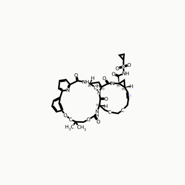 CC1(C)COC(=O)N[C@H]2CCCCC/C=C\[C@H]3C[C@@]3(C(=O)NS(=O)(=O)C3CC3)NC(=O)[C@@H]3C[C@H](CN3C2=O)NC(=O)c2cccc(n2)-c2cccc(c2)OC1